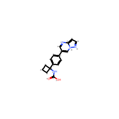 O=C(O)NC1(c2ccc(-c3cnc4ccnn4c3)cc2)CCC1